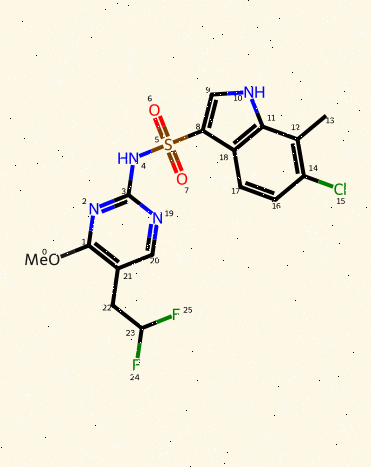 COc1nc(NS(=O)(=O)c2c[nH]c3c(C)c(Cl)ccc23)ncc1CC(F)F